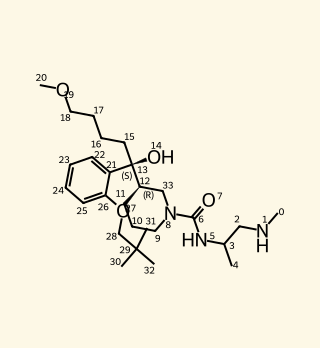 CNCC(C)NC(=O)N1CCC[C@@H]([C@@](O)(CCCCOC)c2ccccc2OCC(C)(C)C)C1